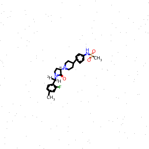 [2H]C([2H])(c1ccc(C)cc1F)N1CC[C@@H](N2CCC(c3ccc(NS(C)(=O)=O)cc3)CC2)C1=O